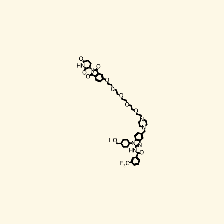 O=C1CCC(N2C(=O)c3ccc(OCCOCCOCCOCCOCCN4CCN(Cc5ccc6c(c5)nc(NC(=O)c5cccc(C(F)(F)F)c5)n6C5CCC(CO)CC5)CC4)cc3C2=O)C(=O)N1